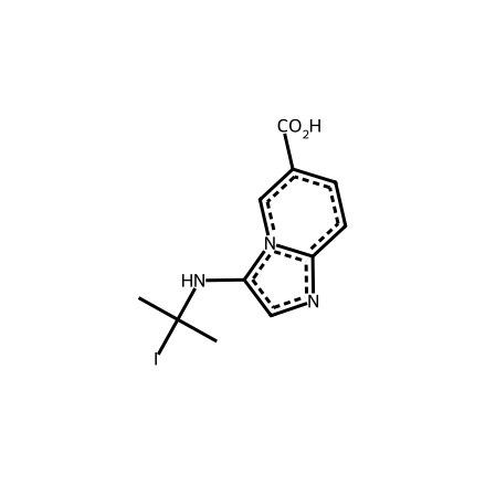 CC(C)(I)Nc1cnc2ccc(C(=O)O)cn12